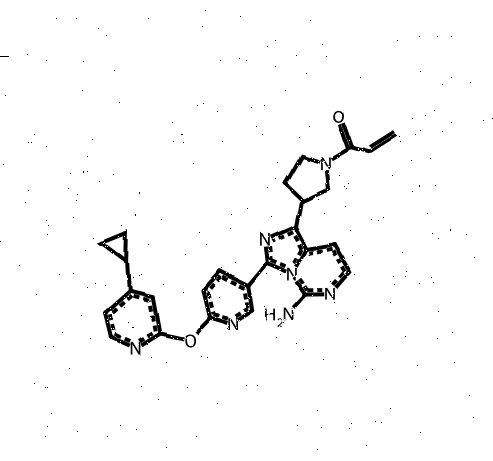 C=CC(=O)N1CCC(c2nc(-c3ccc(Oc4cc(C5CC5)ccn4)nc3)n3c(N)nccc23)C1